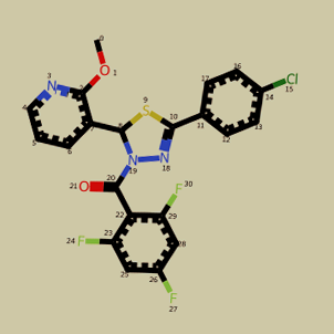 COc1ncccc1C1SC(c2ccc(Cl)cc2)=NN1C(=O)c1c(F)cc(F)cc1F